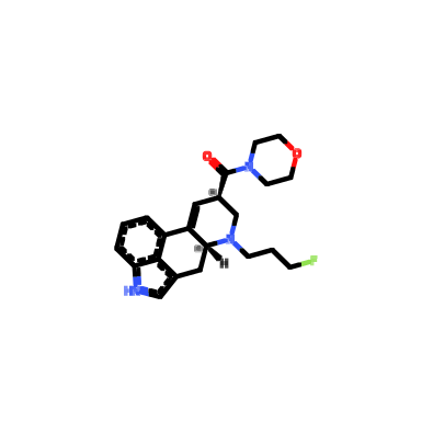 O=C([C@@H]1C=C2c3cccc4[nH]cc(c34)C[C@H]2N(CCCF)C1)N1CCOCC1